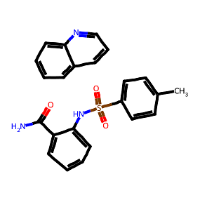 Cc1ccc(S(=O)(=O)Nc2ccccc2C(N)=O)cc1.c1ccc2ncccc2c1